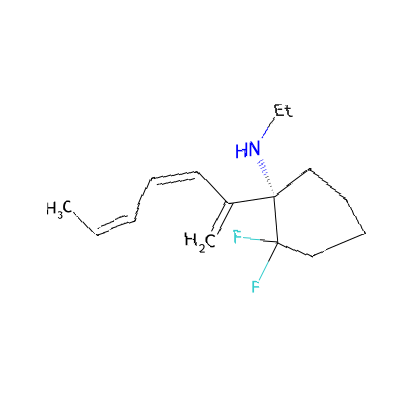 C=C(/C=C\C=C/C)[C@@]1(NCC)CCCCC1(F)F